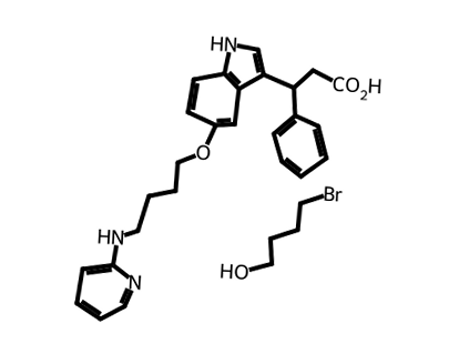 O=C(O)CC(c1ccccc1)c1c[nH]c2ccc(OCCCCNc3ccccn3)cc12.OCCCCBr